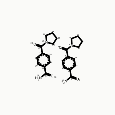 NC(=O)c1ccc(C(=O)N2CCCC2)cc1.NC(=O)c1ccc(C(=O)N2CCCC2)cc1